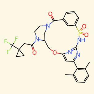 Cc1cccc(C)c1-c1cc2nc(n1)NS(=O)(=O)c1cccc(c1)C(=O)N1CCN(C(=O)CC3(C(F)(F)F)CC3)C(CO2)C1